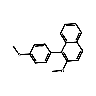 COc1ccc2ccccc2c1-c1ccc(SC)cc1